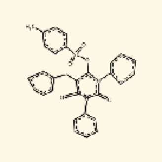 Cc1ccc(S(=O)(=O)Oc2c(Cc3ccccc3)c(=O)n(-c3ccccc3)c(=O)n2-c2ccccc2)cc1